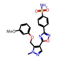 COc1cccc(OCc2c(-c3nc(-c4ccc(S(N)(=O)=O)cc4)no3)cnn2C)c1